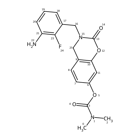 CN(C)C(=O)Oc1ccc2c(c1)OC(=O)N(Cc1cccc(N)c1F)C2